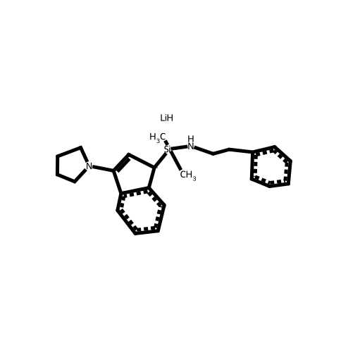 C[Si](C)(NCCc1ccccc1)[C]1C=C(N2CCCC2)c2ccccc21.[LiH]